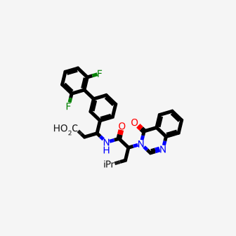 CC(C)CC(C(=O)NC(CC(=O)O)c1cccc(-c2c(F)cccc2F)c1)n1cnc2ccccc2c1=O